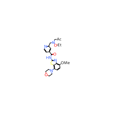 CCON(CC(C)=O)Cc1cc(C(=O)Nc2nc3c(OC)ccc(N4CCOCC4)c3s2)ccn1